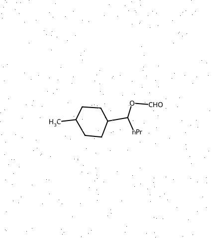 CCCC(OC=O)C1CCC(C)CC1